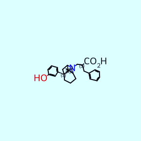 C[C@H]1C2CCC[C@]1(c1cccc(O)c1)CCN2C[C@H](Cc1ccccc1)C(=O)O